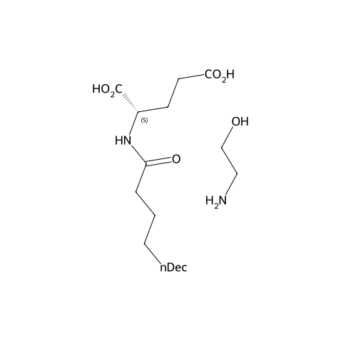 CCCCCCCCCCCCCC(=O)N[C@@H](CCC(=O)O)C(=O)O.NCCO